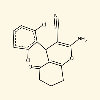 N#CC1=C(N)OC2=C(C(=O)CCC2)C1c1c(Cl)cccc1Cl